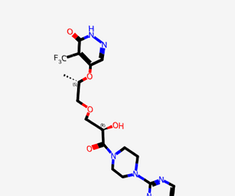 C[C@@H](COC[C@@H](O)C(=O)N1CCN(c2ncc(C(F)(F)F)cn2)CC1)Oc1cn[nH]c(=O)c1C(F)(F)F